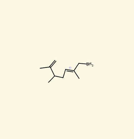 BC/C(C)=C/CC(C)C(=C)C